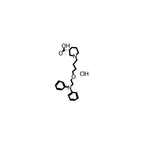 Cl.O=C(O)[C@@H]1CCCN(CCCCOCCN(c2ccccc2)c2ccccc2)C1